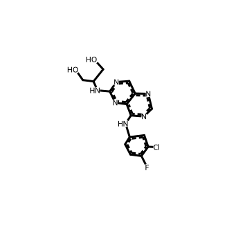 OCC(CO)Nc1ncc2ncnc(Nc3ccc(F)c(Cl)c3)c2n1